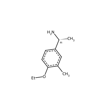 CCOc1ccc([C@@H](C)N)cc1C